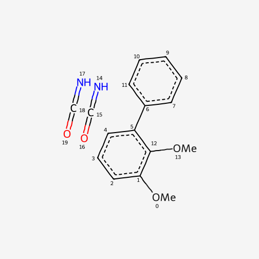 COc1cccc(-c2ccccc2)c1OC.N=C=O.N=C=O